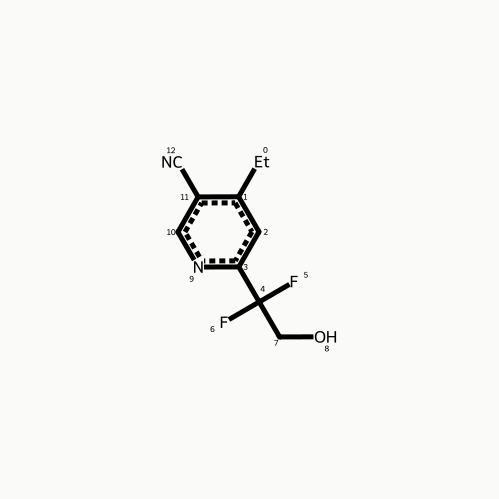 CCc1cc(C(F)(F)CO)ncc1C#N